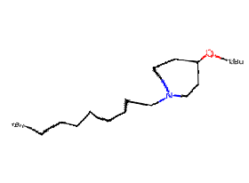 CC(C)(C)CCCCCCCN1CCC(OC(C)(C)C)CC1